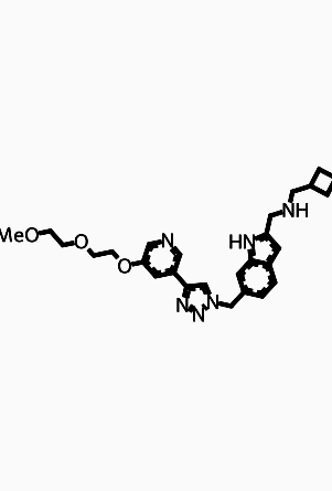 COCCOCCOc1cncc(-c2cn(Cc3ccc4cc(CNCC5CCC5)[nH]c4c3)nn2)c1